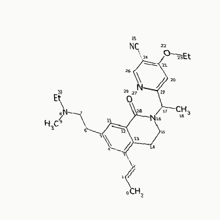 CC=Cc1cc(CCN(C)CC)cc2c1CCN(C(C)c1cc(OCC)c(C#N)cn1)C2=O